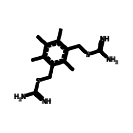 Cc1c(C)c(CSC(=N)N)c(C)c(CSC(=N)N)c1C